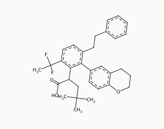 CC(C)(C)CC(C(=O)O)c1c(C(C)(F)F)ccc(CCc2ccccc2)c1-c1ccc2c(c1)CCCO2